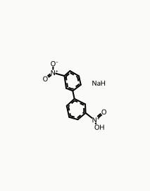 O=[N+]([O-])c1cccc(-c2cccc([N+](=O)O)c2)c1.[NaH]